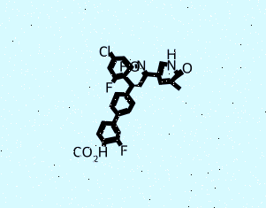 Cc1cc(/C(C[C@@H](c2ccc(-c3ccc(C(=O)O)c(F)c3)cc2)c2ccc(Cl)cc2F)=N/O)c[nH]c1=O